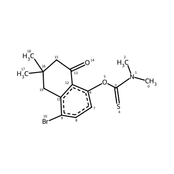 CN(C)C(=S)Oc1ccc(Br)c2c1C(=O)CC(C)(C)C2